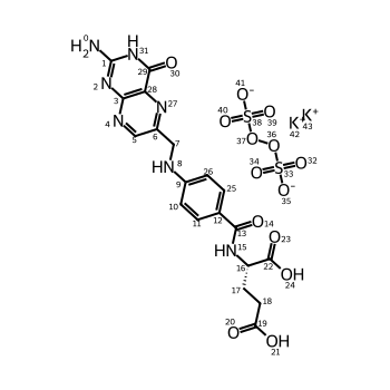 Nc1nc2ncc(CNc3ccc(C(=O)N[C@@H](CCC(=O)O)C(=O)O)cc3)nc2c(=O)[nH]1.O=S(=O)([O-])OOS(=O)(=O)[O-].[K+].[K+]